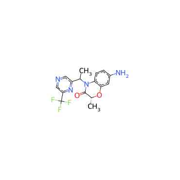 CC(c1cncc(C(F)(F)F)n1)N1C(=O)[C@@H](C)Oc2cc(N)ccc21